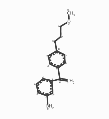 Bc1cccc(C(=C)c2ccc(CCCOC)cc2)c1